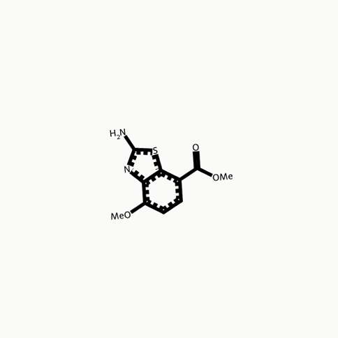 COC(=O)c1ccc(OC)c2nc(N)sc12